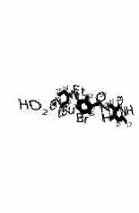 CCN(c1cc(Br)cc(C(=O)NCc2c(C)cc(C)[nH]c2=O)c1C)C1CCN(C(=O)O)C(C(C)(C)C)C1